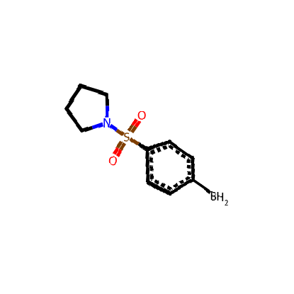 Bc1ccc(S(=O)(=O)N2CCCC2)cc1